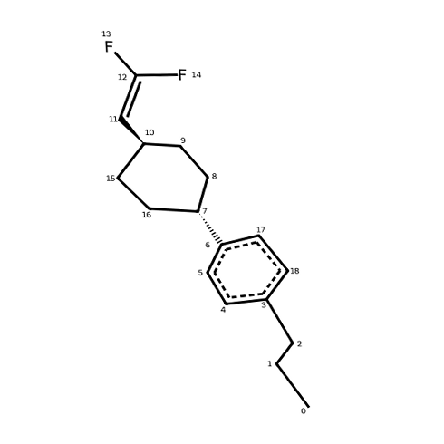 CCCc1ccc([C@H]2CC[C@H](C=C(F)F)CC2)cc1